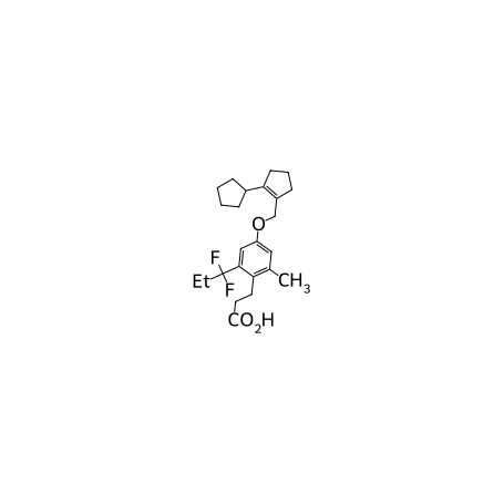 CCC(F)(F)c1cc(OCC2=C(C3CCCC3)CCC2)cc(C)c1CCC(=O)O